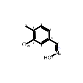 Cc1ccc(/C=N\O)cc1Cl